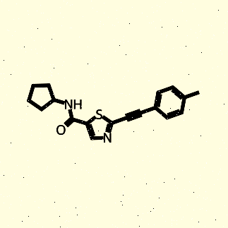 Cc1ccc(C#Cc2ncc(C(=O)NC3CCCC3)s2)cc1